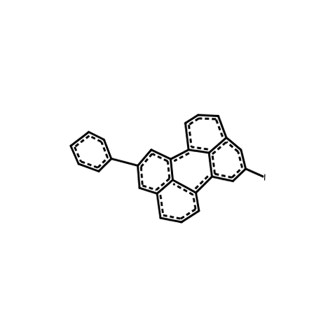 Ic1cc2cccc3c4cc(-c5ccccc5)cc5cccc(c(c1)c23)c54